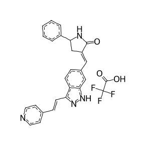 O=C(O)C(F)(F)F.O=C1NC(c2ccccc2)C/C1=C\c1ccc2c(/C=C/c3ccncc3)n[nH]c2c1